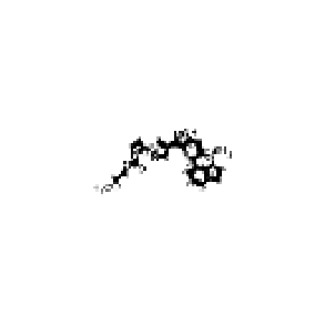 COCCOC(=O)N1CCC1n1cc(-c2n[nH]c3cc(OC)c(-c4cccc5c4CCC5)nc23)cn1